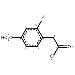 O=C(Cl)Cc1ccc(C(=O)O)cc1F